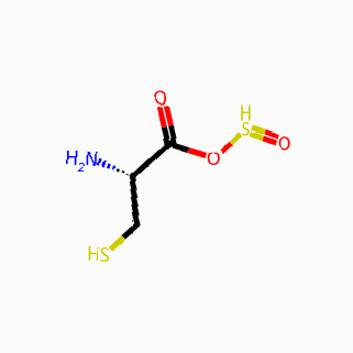 N[C@@H](CS)C(=O)O[SH]=O